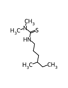 CCC(C)CCCNC(=S)N(C)C